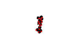 c1ccc(N(c2ccc(-c3ccc4c(c3)C3(CC3)c3ccc(N(c5ccccc5)c5cccc6ccccc56)c5cccc-4c35)cc2)c2cccc3ccccc23)cc1